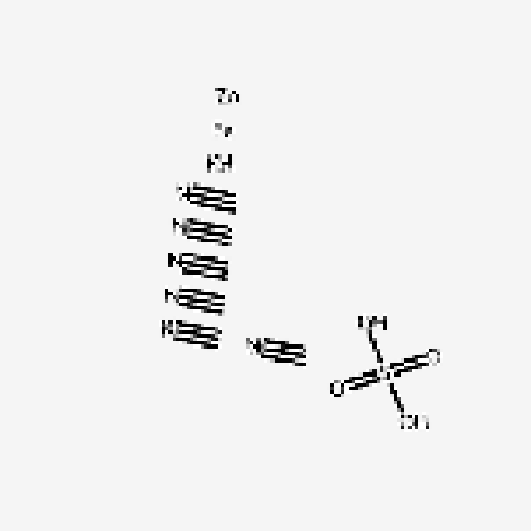 C#N.C#N.C#N.C#N.C#N.C#N.O=S(=O)(O)O.[Fe].[KH].[Zn]